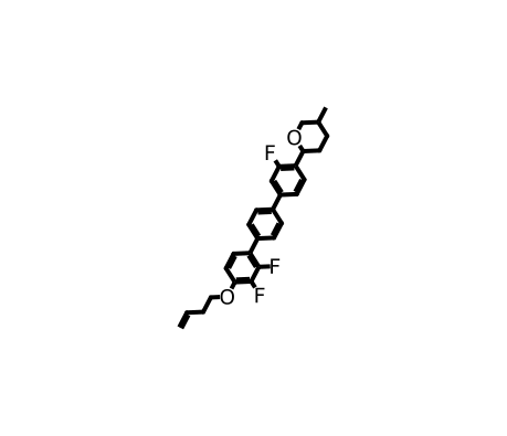 C=CCCOc1ccc(-c2ccc(-c3ccc(C4CCC(C)CO4)c(F)c3)cc2)c(F)c1F